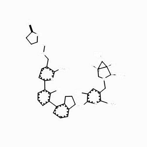 COc1nc(-c2cccc(-c3cccc4c3CC[C@@H]4Oc3nc(OC)c(CN4C[C@@H]5[C@H](C)[C@@H]5[C@H]4C(=O)O)cc3C(F)(F)F)c2Cl)ccc1CNC[C@@H]1CCC(=O)N1